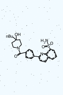 CCCCC1(O)CCN(C(=O)c2ccc(-c3ccc4cccc(S(N)(=O)=O)c4n3)cc2)CC1